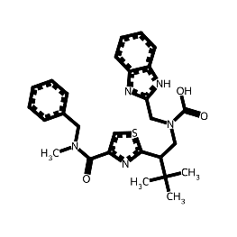 CN(Cc1ccccc1)C(=O)c1csc(C(CN(Cc2nc3ccccc3[nH]2)C(=O)O)C(C)(C)C)n1